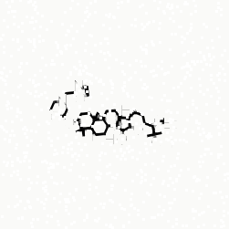 CCO[C@@H](C1C[C@@H](C)[C@H]2C(O1)[C@H](O)[C@@]1(C)C3CC[C@H]4C(C)(C)[C@@H](O[C@H]5CN(Cc6ncco6)CCO5)CCC45C[C@@]35CC[C@]21C)C(C)(C)O